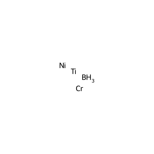 B.[Cr].[Ni].[Ti]